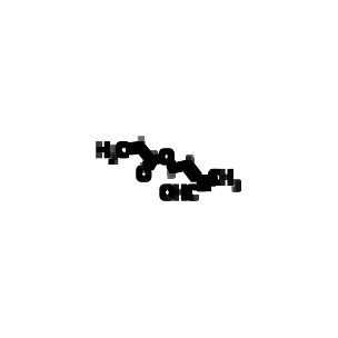 C=CC(=O)OC/C=[Si](/C)C=O